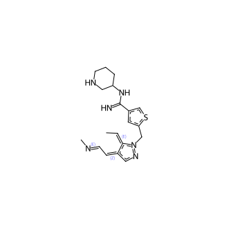 C\C=c1/c(=C\C=N\C)cnn1Cc1cc(C(=N)NC2CCCNC2)cs1